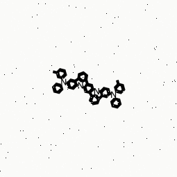 Cc1cccc(N(c2ccccc2)c2ccc3c(c2)c2cccc4c5cc6c(cc5n3c24)c2cccc3c4cc(N(c5ccccc5)c5cccc(C)c5)ccc4n6c32)c1